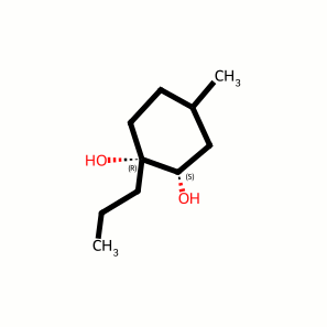 CCC[C@@]1(O)CCC(C)C[C@@H]1O